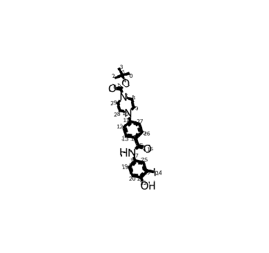 CC(C)(C)OC(=O)N1CCN(c2ccc(C(=O)Nc3ccc(O)c(I)c3)cc2)CC1